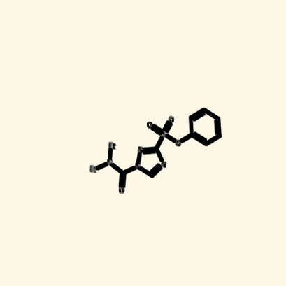 CCN(CC)C(=O)n1cnc(S(=O)(=O)Oc2ccccc2)n1